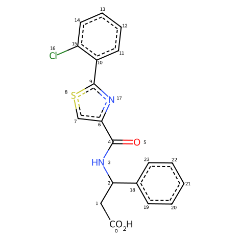 O=C(O)CC(NC(=O)c1csc(-c2ccccc2Cl)n1)c1ccccc1